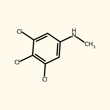 CNc1cc(Cl)c(Cl)c(Cl)c1